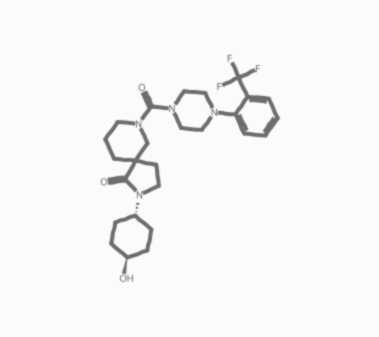 O=C(N1CCN(c2ccccc2C(F)(F)F)CC1)N1CCCC2(CCN([C@H]3CC[C@H](O)CC3)C2=O)C1